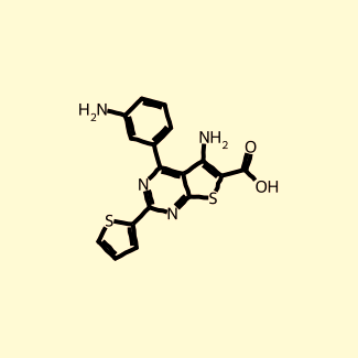 Nc1cccc(-c2nc(-c3cccs3)nc3sc(C(=O)O)c(N)c23)c1